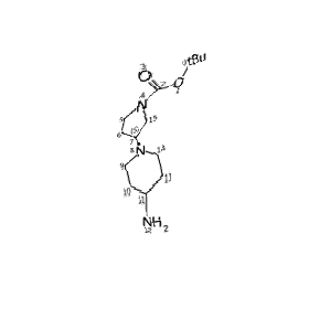 CC(C)(C)OC(=O)N1CC[C@H](N2CCC(N)CC2)C1